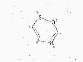 C1=CSOC=N1